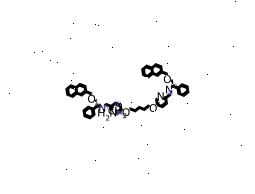 C=C(/C=C\C(=C/N)OCCCCCOc1ccc(/C=N/[C@@H](COCc2ccc3ccccc3c2)c2ccccc2)nc1)/C=N/[C@@H](COCc1ccc2ccccc2c1)c1ccccc1